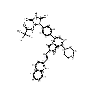 O=C1NC(=O)N(OC(=O)C(F)(F)F)C1c1ccc(-c2cnc(N3CCOCC3)c3nc(/C=C/c4ccc5ccccc5n4)cn23)cc1